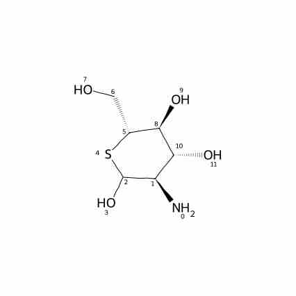 N[C@H]1C(O)S[C@H](CO)[C@@H](O)[C@@H]1O